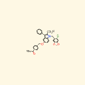 CC(C)(C)C(=O)c1ccc(COc2ccc3c(c2)c(-c2ccccc2)c(C(=O)O)n3Cc2cc3c(cc2Cl)OCO3)cc1